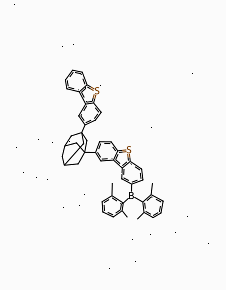 Cc1cccc(C)c1B(c1ccc2sc3ccc(C45CC6CC(CC(c7ccc8sc9ccccc9c8c7)(C6)C4)C5)cc3c2c1)c1c(C)cccc1C